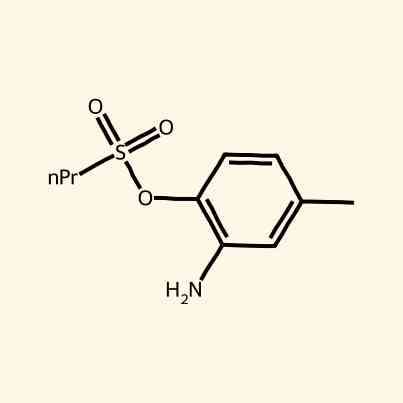 CCCS(=O)(=O)Oc1ccc(C)cc1N